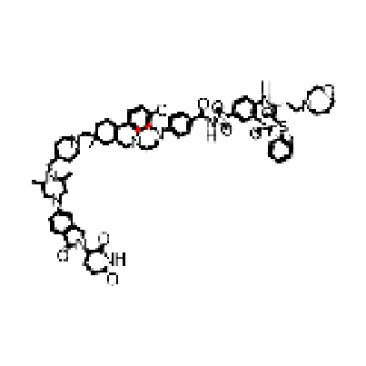 CC1CN(c2ccc3c(c2)CN(C2CCC(=O)NC2=O)C3=O)CC(C)N1CC1CCN(C[C@]2(C)CCC(c3ccc(Cl)cc3)=C(CN3CCN(c4ccc(C(=O)NS(=O)(=O)c5ccc(N[C@H](CCN6CCCOCC6)CSc6ccccc6)c(S(=O)(=O)C(F)(F)F)c5)cc4)CC3)C2)CC1